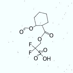 O=COC1CCCCC1C(=O)OCC(F)(F)S(=O)(=O)O